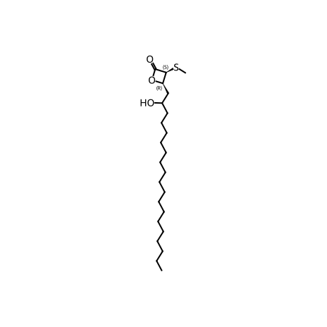 CCCCCCCCCCCCCCCCCC(O)C[C@H]1OC(=O)[C@H]1SC